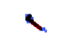 NCCOCCOCCOCCOCCOCCOCCC(=O)NCCCCN1NC(c2cnc3[nH]ccc3c2)c2c(N)ncnc21